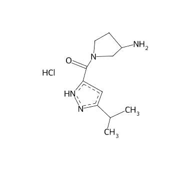 CC(C)c1cc(C(=O)N2CCC(N)C2)[nH]n1.Cl